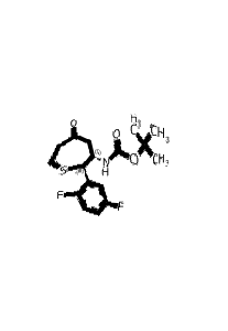 CC(C)(C)OC(=O)N[C@H]1CC(=O)CCS[C@@H]1c1cc(F)ccc1F